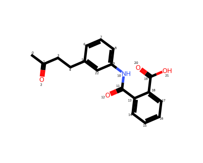 CC(=O)CCc1cccc(NC(=O)c2ccccc2C(=O)O)c1